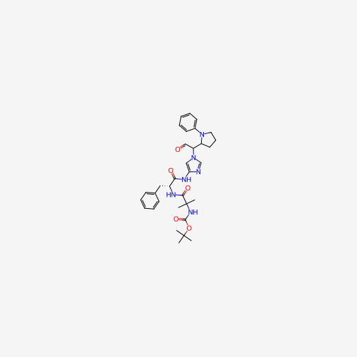 CC(C)(C)OC(=O)NC(C)(C)C(=O)N[C@H](Cc1ccccc1)C(=O)Nc1cn(C(C=O)C2CCCN2c2ccccc2)cn1